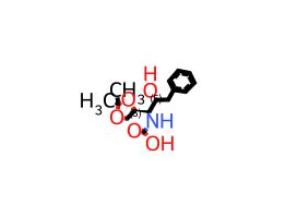 CC1(C)OC[C@H](C(NC(=O)O)[C@@H](O)Cc2ccccc2)O1